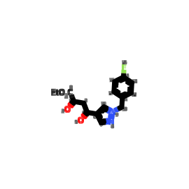 CCOC(=O)C(=O)CC(=O)c1cnn(Cc2ccc(F)cc2)c1